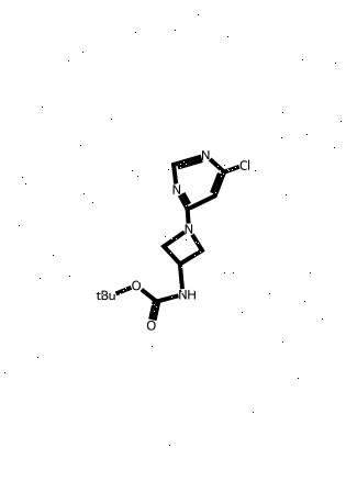 CC(C)(C)OC(=O)NC1CN(c2cc(Cl)ncn2)C1